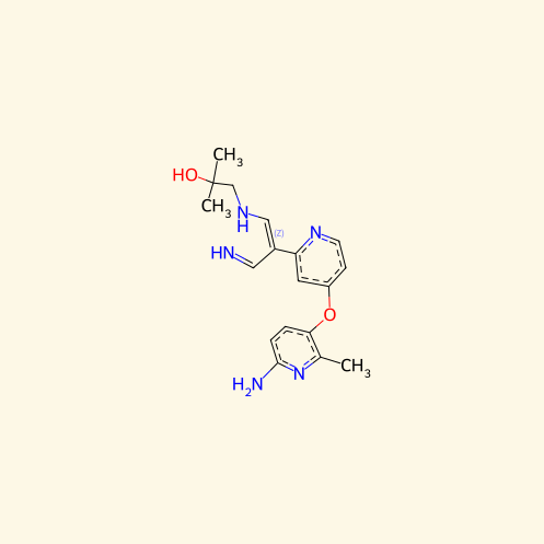 Cc1nc(N)ccc1Oc1ccnc(/C(C=N)=C/NCC(C)(C)O)c1